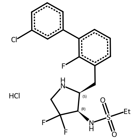 CCS(=O)(=O)N[C@@H]1[C@H](Cc2cccc(-c3cccc(Cl)c3)c2F)NCC1(F)F.Cl